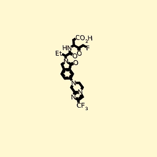 CCC(C(=O)NC(CC(=O)O)C(=O)CF)N1Cc2ccc(N3CCn4cc(C(F)(F)F)nc4C3)cc2C1=O